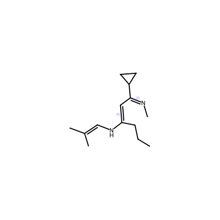 CCC/C(=C\C(=N/C)C1CC1)NC=C(C)C